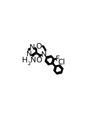 Nc1ncnc2c1C(=O)N(c1ccc(-c3ccccc3Cl)c(F)c1)CCO2